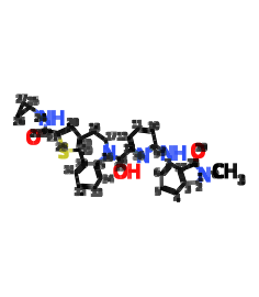 CN1Cc2cccc(Nc3cccc(C(O)N4CCc5cc(C(=O)NC6CC6)sc5-c5ccccc54)n3)c2C1=O